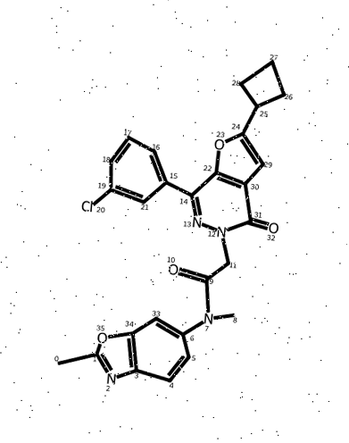 Cc1nc2ccc(N(C)C(=O)Cn3nc(-c4cccc(Cl)c4)c4oc(C5CCC5)cc4c3=O)cc2o1